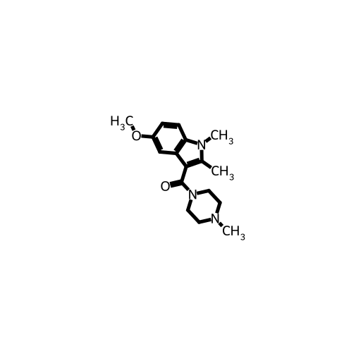 COc1ccc2c(c1)c(C(=O)N1CCN(C)CC1)c(C)n2C